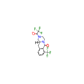 O=C1c2c(cccc2C(F)(F)F)C[C@@H]2CN(C(=O)C(F)(F)F)CCN12